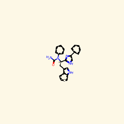 NC(=O)N(c1ccccc1)[C@H](Cc1c[nH]c2ccccc12)c1nc(-c2ccccc2)c[nH]1